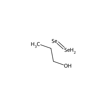 CCCO.[Se]=[SeH2]